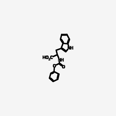 O=C(NC(Cc1c[nH]c2ccccc12)C(=O)O)Oc1ccccc1